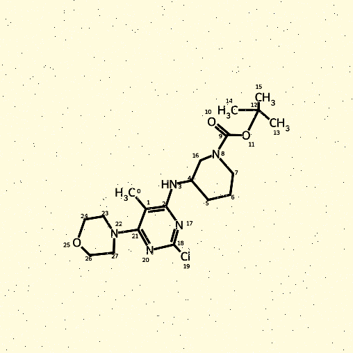 Cc1c(NC2CCCN(C(=O)OC(C)(C)C)C2)nc(Cl)nc1N1CCOCC1